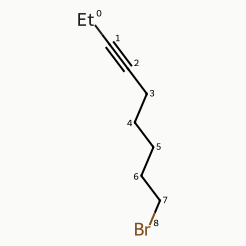 CCC#CCCCCCBr